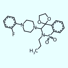 CCCN1C(N2CCN(c3ccccc3F)CC2)C2(OCCO2)c2ccccc2S1(=O)=O